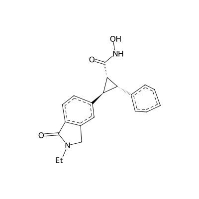 CCN1Cc2cc([C@H]3[C@H](C(=O)NO)[C@@H]3c3ccccc3)ccc2C1=O